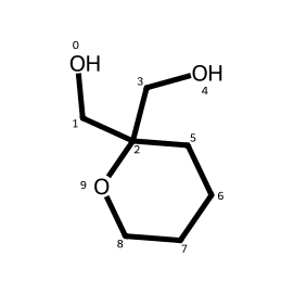 OCC1(CO)CCCCO1